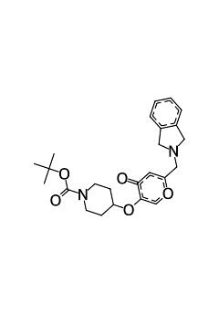 CC(C)(C)OC(=O)N1CCC(Oc2coc(CN3Cc4ccccc4C3)cc2=O)CC1